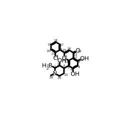 BC1C(O)C(c2c(O)cc(O)c3c(=O)cc(-c4ccccc4Cl)oc23)CCN1C